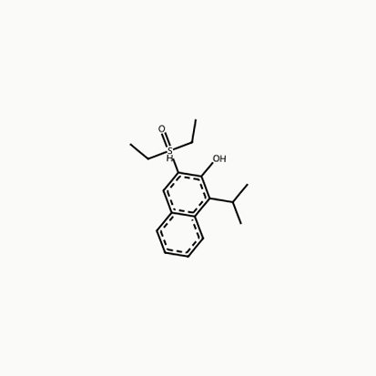 CC[SH](=O)(CC)c1cc2ccccc2c(C(C)C)c1O